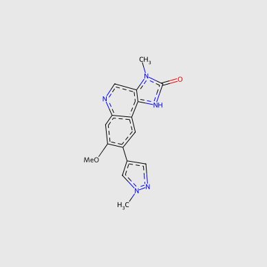 COc1cc2ncc3c([nH]c(=O)n3C)c2cc1-c1cnn(C)c1